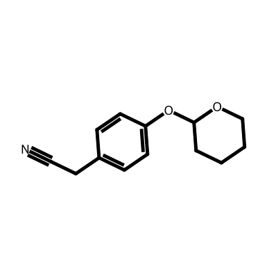 N#CCc1ccc(OC2CCCCO2)cc1